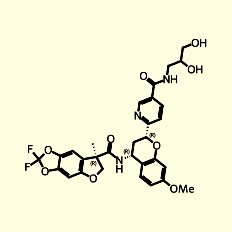 COc1ccc2c(c1)O[C@@H](c1ccc(C(=O)NCC(O)CO)cn1)C[C@H]2NC(=O)[C@@]1(C)COc2cc3c(cc21)OC(F)(F)O3